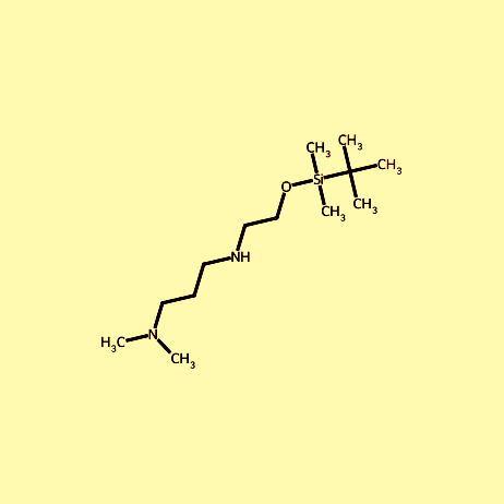 CN(C)CCCNCCO[Si](C)(C)C(C)(C)C